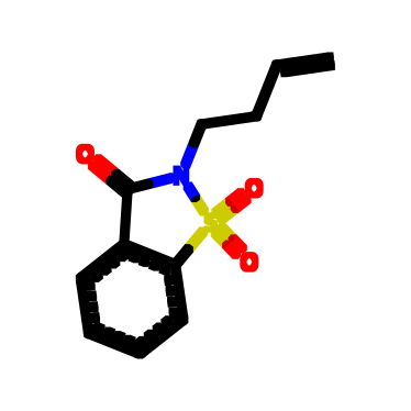 C=CCCN1C(=O)c2ccccc2S1(=O)=O